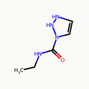 CCNC(=O)N1C=[C]NN1